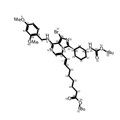 COc1ccc(CNc2ncc(/C=C/CCCCCC(=O)OC(C)(C)C)n3c([C@@H]4CCC[C@@H](NC(=O)OC(C)(C)C)C4)nc(Br)c23)c(OC)c1